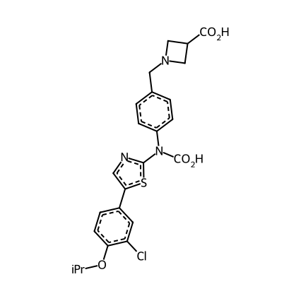 CC(C)Oc1ccc(-c2cnc(N(C(=O)O)c3ccc(CN4CC(C(=O)O)C4)cc3)s2)cc1Cl